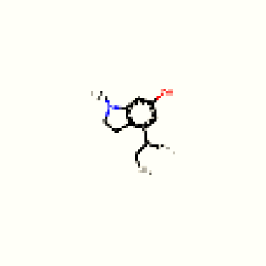 CCC(C)c1cc(O)cc2c1CCN2C